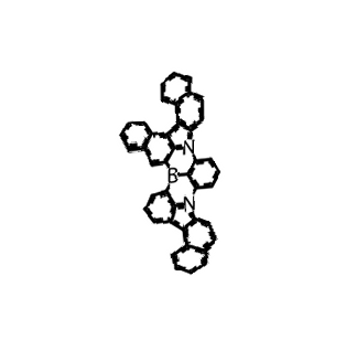 c1cc2c3c(c1)-n1c4ccc5ccccc5c4c4c5ccccc5cc(c41)B3c1cccc3c4c5ccccc5ccc4n-2c13